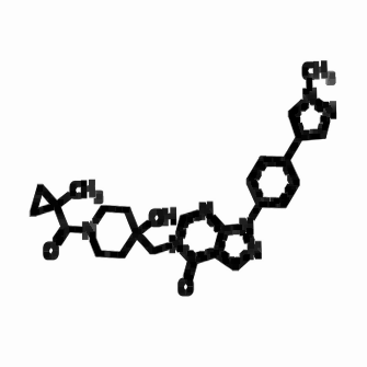 Cn1cc(-c2ccc(-n3ncc4c(=O)n(CC5(O)CCN(C(=O)C6(C)CC6)CC5)cnc43)cc2)cn1